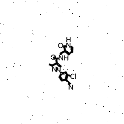 Cc1nn(-c2ccc(C#N)c(Cl)c2)cc1C(=O)NCc1ccc[nH]c1=O